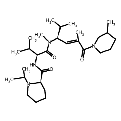 C/C(=C\[C@H](C(C)C)N(C)C(=O)[C@@H](NC(=O)[C@H]1CCCCN1C(C)C)C(C)C)C(=O)N1CCCC(C)C1